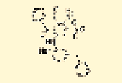 Nc1c(S(=O)(=O)[O-])cc(Nc2cccc(Cc3ccccc3)c2)c2c1C(=O)c1ccccc1C2=O.[Na+]